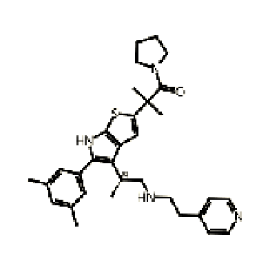 Cc1cc(C)cc(-c2[nH]c3sc(C(C)(C)C(=O)N4CCCC4)cc3c2[C@H](C)CNCCc2ccncc2)c1